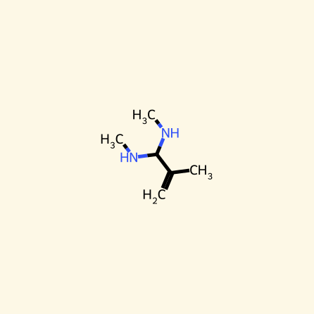 C=C(C)C(NC)NC